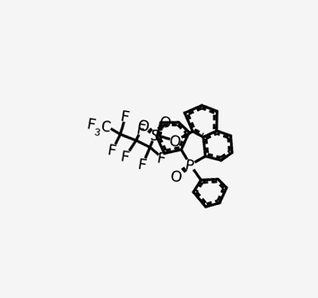 O=P(c1ccccc1)(c1ccccc1)c1cccc2cccc(OS(=O)(=O)C(F)(F)C(F)(F)C(F)(F)C(F)(F)F)c12